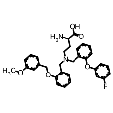 COc1cccc(COc2ccccc2CN(CCC(N)C(=O)O)Cc2ccccc2Oc2cccc(F)c2)c1